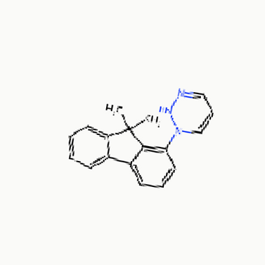 CC1(C)c2ccccc2-c2cccc(N3C=CC=NN3)c21